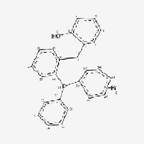 Br.Oc1ccccc1Cc1ccccc1P(c1ccccc1)c1ccccc1